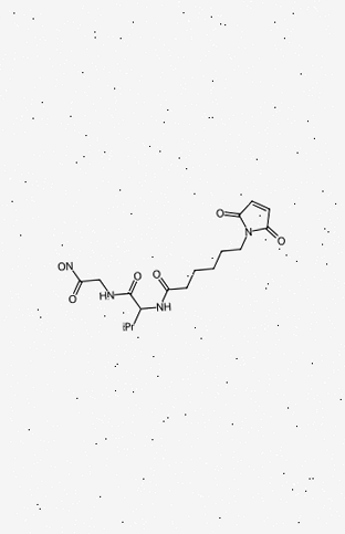 CC(C)C(NC(=O)CCCCCN1C(=O)C=CC1=O)C(=O)NCC(=O)N=O